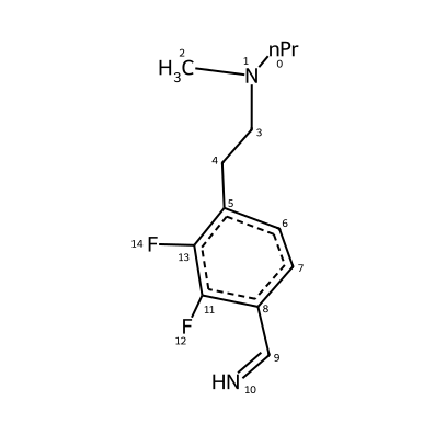 CCCN(C)CCc1ccc(C=N)c(F)c1F